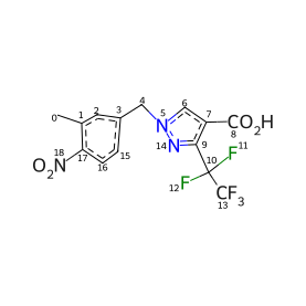 Cc1cc(Cn2cc(C(=O)O)c(C(F)(F)C(F)(F)F)n2)ccc1[N+](=O)[O-]